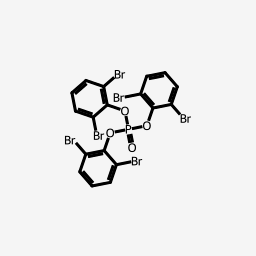 O=P(Oc1c(Br)cccc1Br)(Oc1c(Br)cccc1Br)Oc1c(Br)cccc1Br